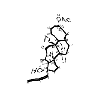 C=C=C[C@]1(O)CC[C@H]2[C@@H]3CCC4=C[C@@H](OC(C)=O)CC[C@@H]4[C@H]3CC[C@@]21C